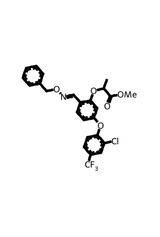 COC(=O)C(C)Oc1cc(Oc2ccc(C(F)(F)F)cc2Cl)ccc1C=NOCc1ccccc1